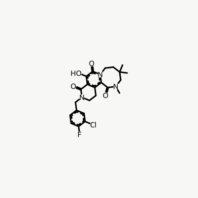 CN1CC(C)(C)CCn2c(c3c(c(O)c2=O)C(=O)N(Cc2ccc(F)c(Cl)c2)CC3)C1=O